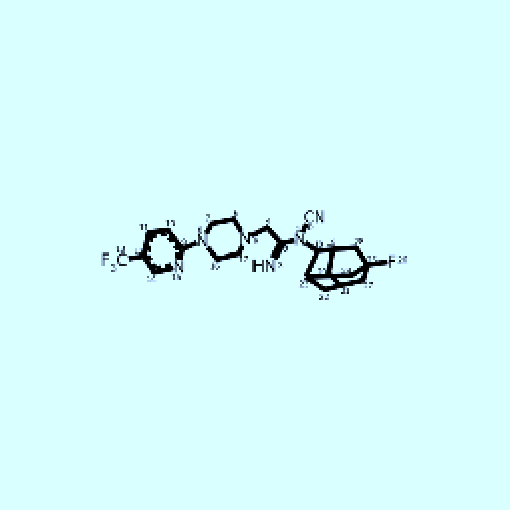 N#CN(C(=N)CN1CCN(c2ccc(C(F)(F)F)cn2)CC1)C1C2CC3CC1CC(F)(C3)C2